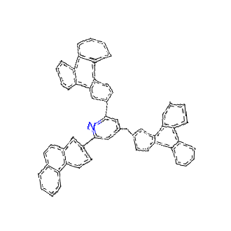 c1ccc2c(c1)ccc1cc(-c3cc(-c4ccc5c6ccccc6c6ccccc6c5c4)cc(-c4ccc5c6ccccc6c6ccccc6c5c4)n3)ccc12